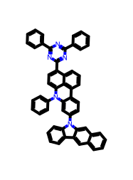 c1ccc(-c2nc(-c3ccccc3)nc(-c3ccc4c5c(cccc35)-c3ccc(-n5c6ccccc6c6cc7ccccc7cc65)cc3N4c3ccccc3)n2)cc1